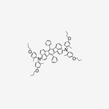 CCCOc1ccc(N(c2ccc(OCCC)cc2C)c2ccc3c4c(-c5ccccc5)c5c6ccc(N(c7ccc(OCCC)cc7C)c7ccc(OCCC)cc7C)c7cccc(c5c(-c5ccccc5)c4c4cccc2c43)c76)c(C)c1